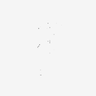 COc1ccc(C[C@@H](C(=O)O)N(C)C(=O)OC(C)(C)C)cc1F